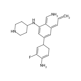 C=C/C=c1/cc(C2C=C(F)C(N)=CC2)cc(NC2CCNCC2)/c1=C/N